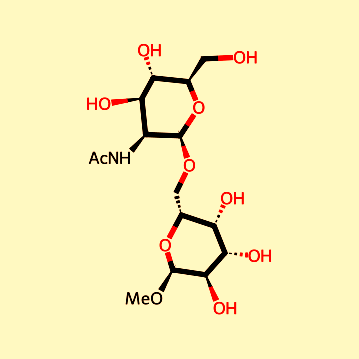 CO[C@H]1O[C@H](CO[C@@H]2O[C@H](CO)[C@@H](O)[C@H](O)[C@@H]2NC(C)=O)[C@H](O)[C@H](O)[C@H]1O